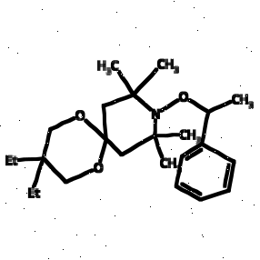 CCC1(CC)COC2(CC(C)(C)N(OC(C)c3ccccc3)C(C)(C)C2)OC1